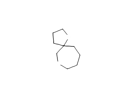 C1CCC2(CCCO2)COC1